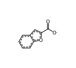 [O]C(=O)c1cc2ccccc2o1